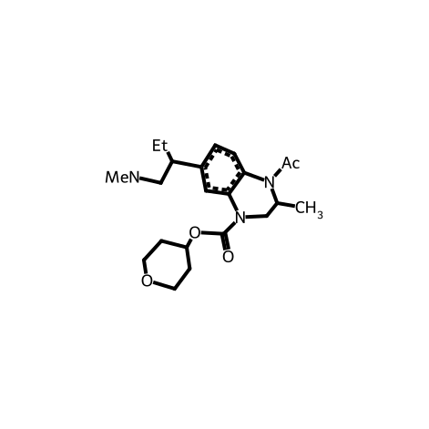 CCC(CNC)c1ccc2c(c1)N(C(=O)OC1CCOCC1)CC(C)N2C(C)=O